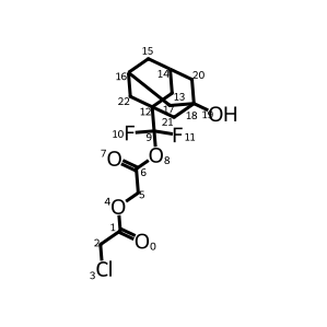 O=C(CCl)OCC(=O)OC(F)(F)C12CC3CC(CC(O)(C3)C1)C2